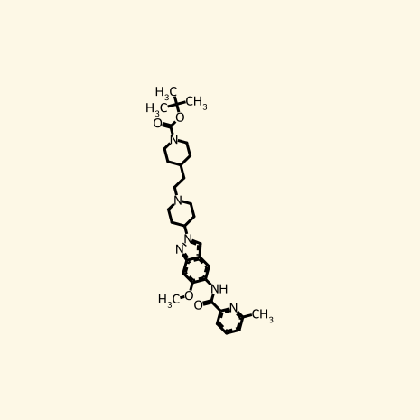 COc1cc2nn(C3CCN(CCC4CCN(C(=O)OC(C)(C)C)CC4)CC3)cc2cc1NC(=O)c1cccc(C)n1